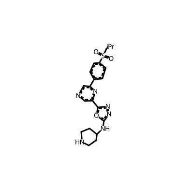 CC(C)S(=O)(=O)c1ccc(-c2cncc(-c3nnc(NC4CCNCC4)o3)n2)cc1